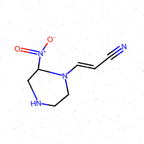 N#CC=CN1CCNCC1[N+](=O)[O-]